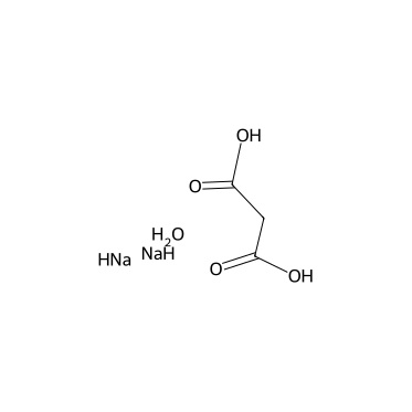 O.O=C(O)CC(=O)O.[NaH].[NaH]